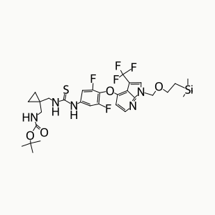 CC(C)(C)OC(=O)NCC1(CNC(=S)Nc2cc(F)c(Oc3ccnc4c3c(C(F)(F)F)cn4COCC[Si](C)(C)C)c(F)c2)CC1